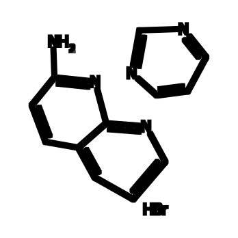 Br.Nc1ccc2cccnc2n1.c1cncnc1